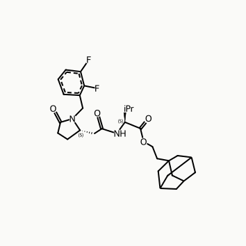 CC(C)[C@H](NC(=O)C[C@@H]1CCC(=O)N1Cc1cccc(F)c1F)C(=O)OCCC12CC3CC(CC(C3)C1)C2